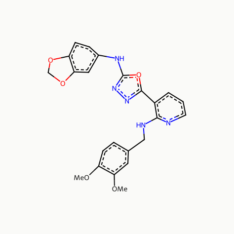 COc1ccc(CNc2ncccc2-c2nnc(Nc3ccc4c(c3)OCO4)o2)cc1OC